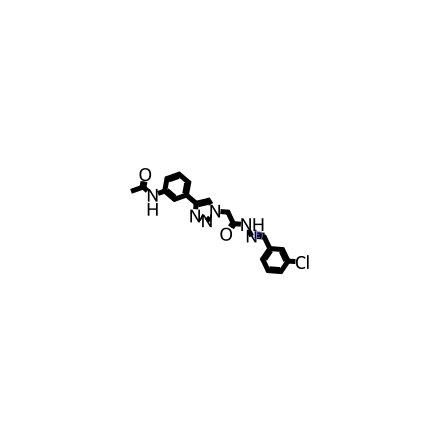 CC(=O)Nc1cccc(-c2cn(CC(=O)N/N=C/c3cccc(Cl)c3)nn2)c1